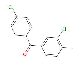 Cc1ccc(C(=O)c2ccc(Cl)cc2)cc1Cl